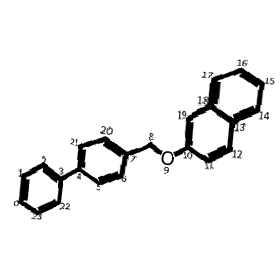 c1ccc(-c2ccc(COc3ccc4ccccc4c3)cc2)cc1